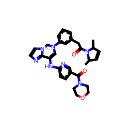 CC1C=CC(C)N1C(=O)Cc1cccc(N2C=C(Nc3ccc(C(=O)N4CCOCC4)cn3)C3=NC=C[N+]3C2)c1